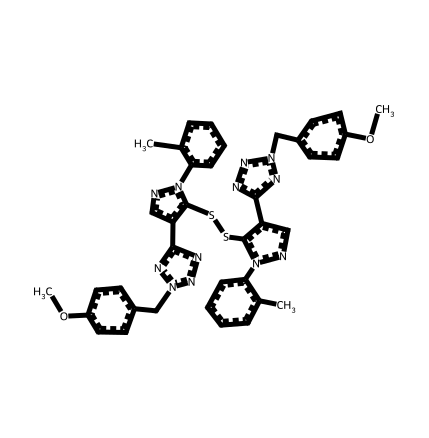 COc1ccc(Cn2nnc(-c3cnn(-c4ccccc4C)c3SSc3c(-c4nnn(Cc5ccc(OC)cc5)n4)cnn3-c3ccccc3C)n2)cc1